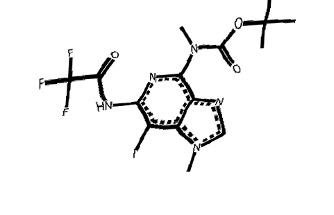 CN(C(=O)OC(C)(C)C)c1nc(NC(=O)C(F)(F)F)c(I)c2c1ncn2C